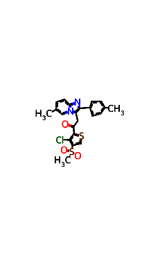 Cc1ccc(-c2nc3ccc(C)cn3c2CC(=O)c2scc(S(C)(=O)=O)c2Cl)cc1